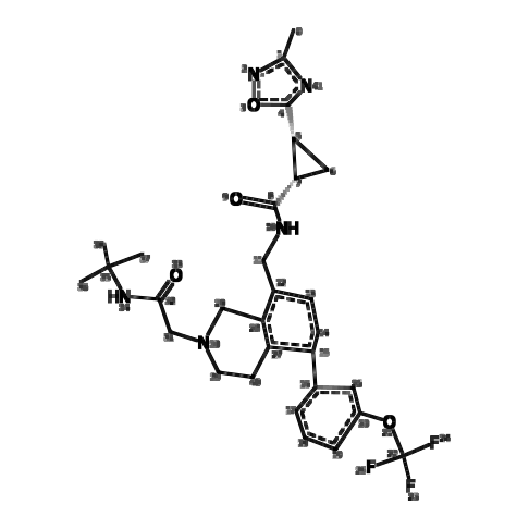 Cc1noc([C@@H]2C[C@@H]2C(=O)NCc2ccc(-c3cccc(OC(F)(F)F)c3)c3c2CN(CC(=O)NC(C)(C)C)CC3)n1